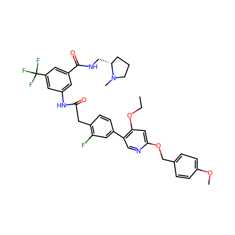 CCOc1cc(OCc2ccc(OC)cc2)ncc1-c1ccc(CC(=O)Nc2cc(C(=O)NC[C@@H]3CCCN3C)cc(C(F)(F)F)c2)c(F)c1